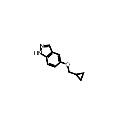 c1cc2[nH]ncc2cc1OCC1CC1